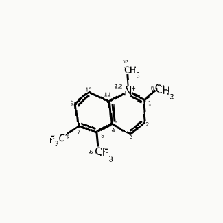 Cc1ccc2c(C(F)(F)F)c(C(F)(F)F)ccc2[n+]1C